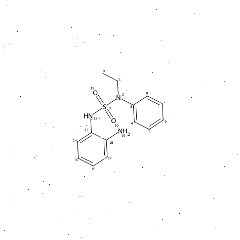 CCN(c1ccccc1)S(=O)(=O)Nc1ccccc1N